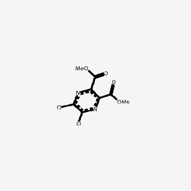 COC(=O)c1nc(Cl)c(Cl)nc1C(=O)OC